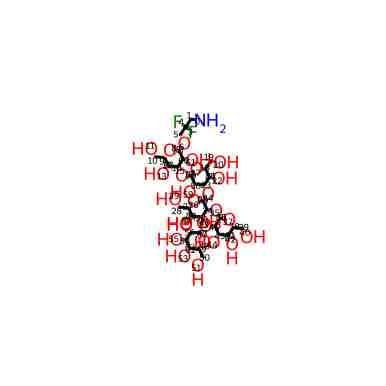 NCC(F)(F)CO[C@H]1OC(CO)[C@@H](O)C(O[C@H]2OC(CO)[C@@H](O)C(O[C@H]3OC(CO)[C@@H](O)C(O)C3O[C@H]3OC(CO)[C@@H](O)C(O)C3O[C@H]3OC(CO)[C@@H](O)C(O)C3O)C2O)C1O